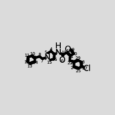 O=C(NC1CCN(CCc2ccccc2)CC1)c1occc1Cc1ccc(Cl)cc1